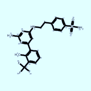 Cc1c(-c2cc(NCCc3ccc(S(N)(=O)=O)cc3)nc(N)n2)cccc1C(F)(F)F